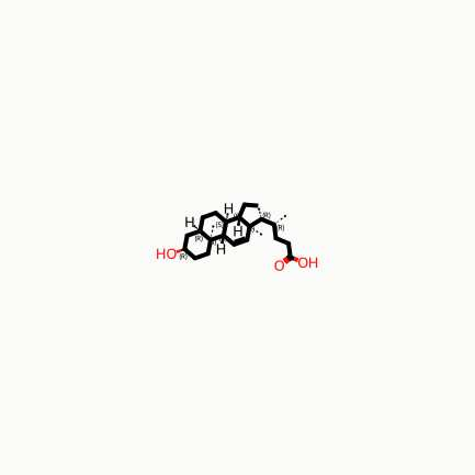 C[C@H](CCC(=O)O)[C@H]1CC[C@H]2[C@@H]3CC[C@@H]4C[C@H](O)CC[C@]4(C)[C@H]3C=C[C@]12C